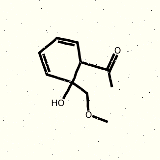 COCC1(O)C=CC=CC1C(C)=O